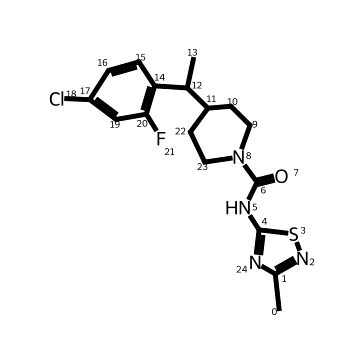 Cc1nsc(NC(=O)N2CCC(C(C)c3ccc(Cl)cc3F)CC2)n1